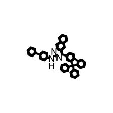 c1ccc(-c2ccc(Nc3nc(-c4ccc5c(c4)C(c4ccccc4)(c4ccccc4)c4ccccc4-5)c4cc5ccccc5cc4n3)cc2)cc1